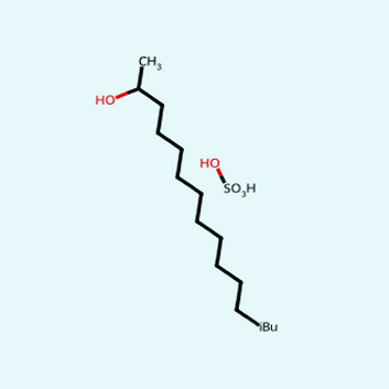 CCC(C)CCCCCCCCCCC(C)O.O=S(=O)(O)O